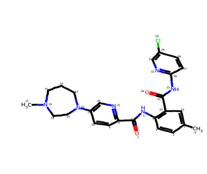 Cc1ccc(NC(=O)c2ccc(N3CCCN(C)CC3)cn2)c(C(=O)Nc2ccc(Cl)cn2)c1